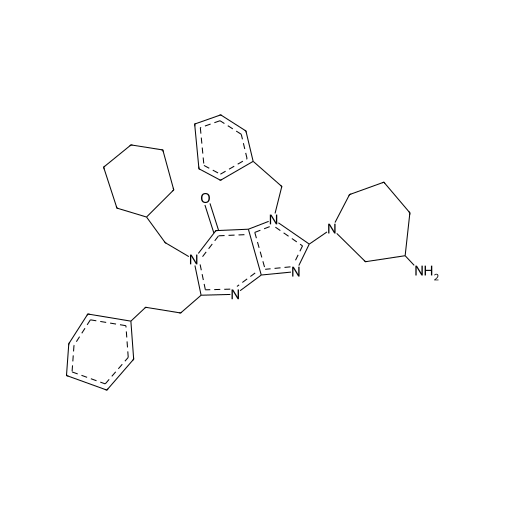 NC1CCCN(c2nc3nc(CCc4ccccc4)n(CC4CCCCC4)c(=O)c3n2Cc2ccccc2)C1